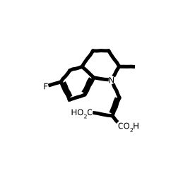 CC1CCC2CC(F)=CC=C2N1C=C(C(=O)O)C(=O)O